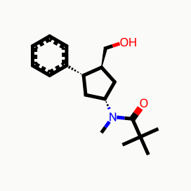 CN(C(=O)C(C)(C)C)[C@H]1C[C@H](CO)[C@@H](c2ccccc2)C1